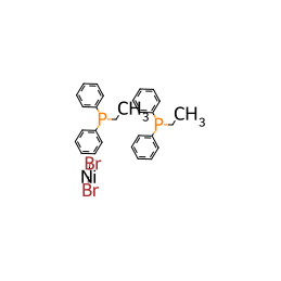 CCP(c1ccccc1)c1ccccc1.CCP(c1ccccc1)c1ccccc1.[Br][Ni][Br]